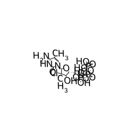 CC1=CN([C@@H]2O[C@H](COP(=O)(O)OP(=O)(O)OP(=O)(O)O)[C@@H](O)[C@@]2(C)Cl)C(=O)NC1N